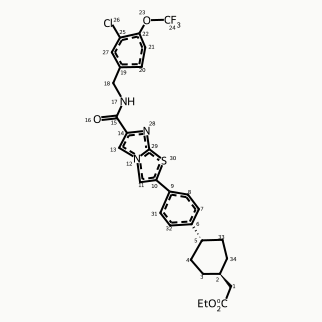 CCOC(=O)C[C@H]1CC[C@H](c2ccc(-c3cn4cc(C(=O)NCc5ccc(OC(F)(F)F)c(Cl)c5)nc4s3)cc2)CC1